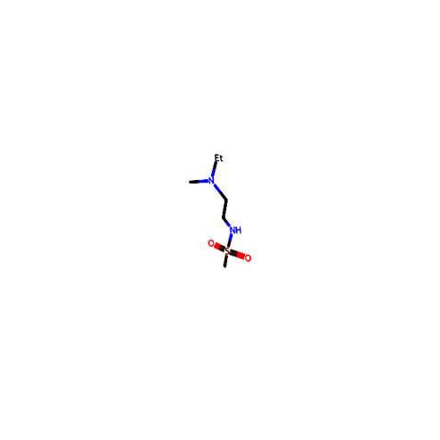 CCN(C)CCNS(C)(=O)=O